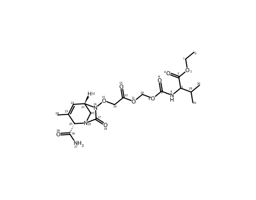 CCOC(=O)C(NC(=O)OCOC(=O)CON1C(=O)N2C[C@@H]1C=C(C)[C@H]2C(N)=O)C(C)C